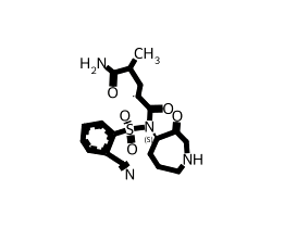 CC(C[CH]C(=O)N([C@H]1CCCNCC1=O)S(=O)(=O)c1ccccc1C#N)C(N)=O